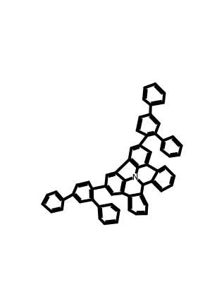 c1ccc(-c2ccc(-c3cc4c5c(c3)c3cc(-c6ccc(-c7ccccc7)cc6-c6ccccc6)cc6c3n5C(c3ccccc3-4)c3ccccc3-6)c(-c3ccccc3)c2)cc1